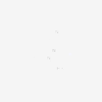 C/C=C\n1ncccc1=N